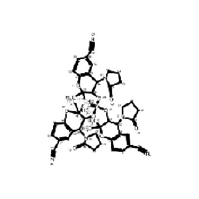 CC1(C)Oc2ccc(C#N)cc2C(N2CCCC2=O)C1OP(=O)(OC1C(N2CCCC2=O)c2cc(C#N)ccc2OC1(C)C)OC1C(N2CCCC2=O)c2cc(C#N)ccc2OC1(C)C